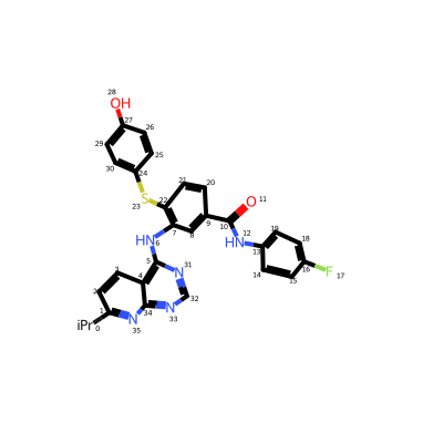 CC(C)c1ccc2c(Nc3cc(C(=O)Nc4ccc(F)cc4)ccc3Sc3ccc(O)cc3)ncnc2n1